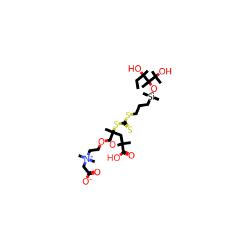 CCC(C)(O)C(C)(O[Si](C)(C)CCCSC(=S)SC(C)(CC(C)(C)C(=O)O)C(=O)OCC[N+](C)(C)CC(=O)[O-])C(C)(C)O